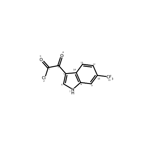 O=C(Cl)C(=O)c1c[nH]c2cc(C(F)(F)F)ccc12